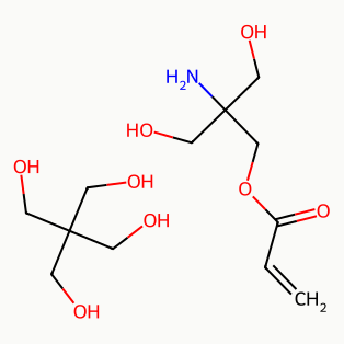 C=CC(=O)OCC(N)(CO)CO.OCC(CO)(CO)CO